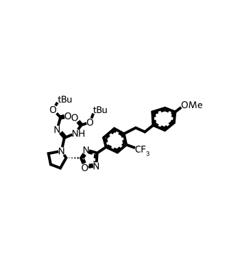 COc1ccc(CCc2ccc(-c3noc([C@@H]4CCCN4/C(=N/C(=O)OC(C)(C)C)NC(=O)OC(C)(C)C)n3)cc2C(F)(F)F)cc1